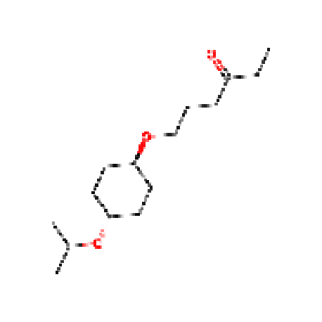 CCC(=O)CCCO[C@H]1CC[C@H](OC(C)C)CC1